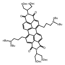 CCCCCCCCCCCC(CCCCCCCCCCC)N1C(=O)c2ccc3c4c(CCCN(CCCC)CCCC)cc5c6c(ccc(c7c(CCCN(CCCC)CCCC)cc(c2c37)C1=O)c64)C(=O)N(C(CCCCCCCCCCC)CCCCCCCCCCC)C5=O